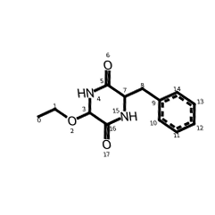 CCOC1NC(=O)C(Cc2ccccc2)NC1=O